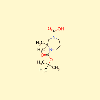 CC(C)(C)OC(=O)N1CCCN(C(=O)O)CC1(C)C